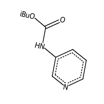 CC(C)COC(=O)Nc1cccnc1